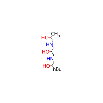 CCCCC(O)CNCC(O)CNCC(C)O